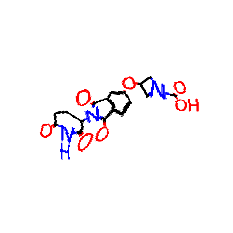 O=C1CCC(N2C(=O)c3ccc(OC4CN(C(=O)O)C4)cc3C2=O)C(=O)N1